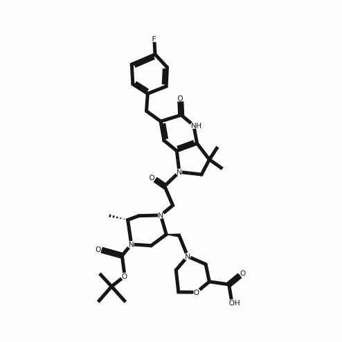 C[C@@H]1CN(CC(=O)N2CC(C)(C)c3[nH]c(=O)c(Cc4ccc(F)cc4)cc32)[C@@H](CN2CCOC(C(=O)O)C2)CN1C(=O)OC(C)(C)C